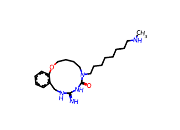 CNCCCCCCCCN1CCCCOc2ccccc2CNC(=N)NC1=O